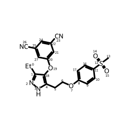 CCc1n[nH]c(CCOc2ccc(S(C)(=O)=O)cc2)c1Oc1cc(C#N)cc(C#N)c1